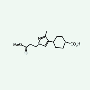 COC(=O)CCn1cc(C2CCC(C(=O)O)CC2)c(C)n1